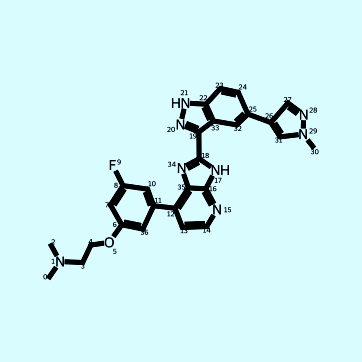 CN(C)CCOc1cc(F)cc(-c2ccnc3[nH]c(-c4n[nH]c5ccc(-c6cnn(C)c6)cc45)nc23)c1